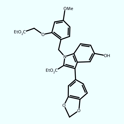 CCOC(=O)COc1cc(OC)ccc1Cn1c(C(=O)OCC)c(-c2ccc3c(c2)OCO3)c2cc(O)ccc21